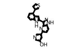 Oc1cncc(-c2ccc3[nH]nc(-c4cc5c(-c6ccsc6)cccc5[nH]4)c3n2)c1